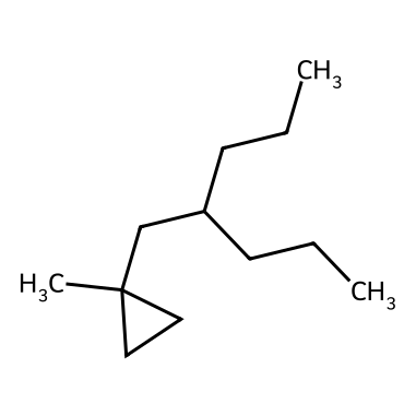 CCCC(CCC)CC1(C)CC1